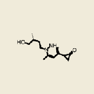 C=C(/C=C(/C)N(N)CC[C@@H](C)CO)C1CC1=O